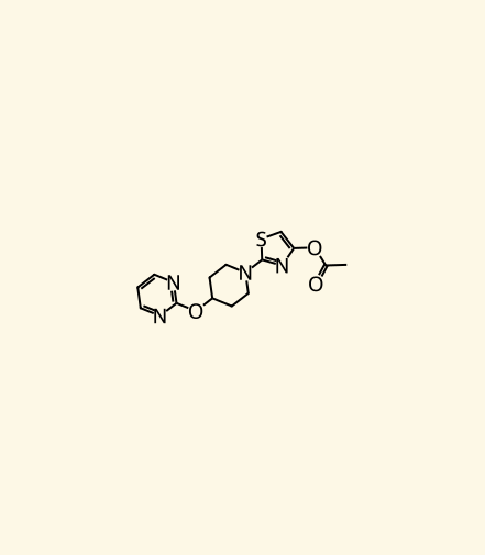 CC(=O)Oc1csc(N2CCC(Oc3ncccn3)CC2)n1